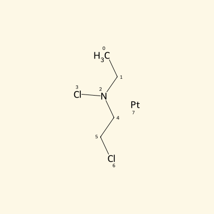 CCN(Cl)CCCl.[Pt]